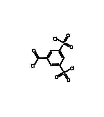 O=C(Cl)c1cc(S(=O)(=O)Cl)cc(S(=O)(=O)Cl)c1